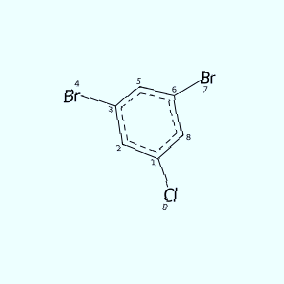 Clc1cc(Br)cc(Br)c1